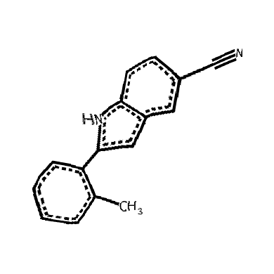 Cc1ccccc1-c1cc2cc(C#N)ccc2[nH]1